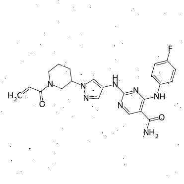 C=CC(=O)N1CCCC(n2cc(Nc3ncc(C(N)=O)c(Nc4ccc(F)cc4)n3)cn2)C1